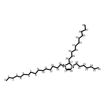 CCCCCCCCCCCCCCCCN1C=CN(CCCCCCC)C1CCCCCCCCCCC